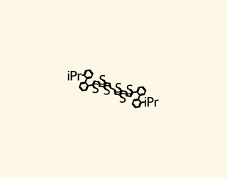 CC(C)c1ccccc1-c1ccccc1-c1cc2sc3cc(-c4cc5sc6cc(-c7ccccc7-c7ccccc7C(C)C)sc6c5s4)sc3c2s1